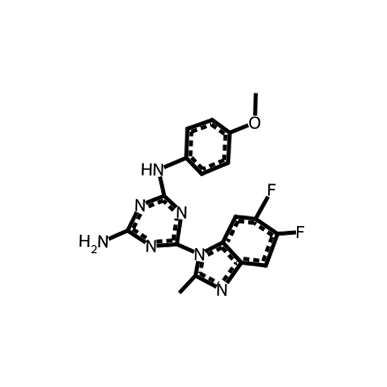 COc1ccc(Nc2nc(N)nc(-n3c(C)nc4cc(F)c(F)cc43)n2)cc1